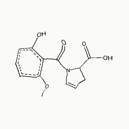 COc1cccc(O)c1C(=O)N1C=CCC1C(=O)O